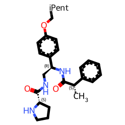 CCCC(C)COc1ccc([C@H](CNC(=O)[C@@H]2CCCN2)NC(=O)[C@@H](C)c2ccccc2)cc1